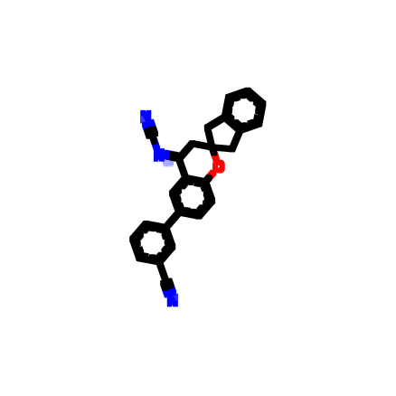 N#C/N=C1\CC2(Cc3ccccc3C2)Oc2ccc(-c3cccc(C#N)c3)cc21